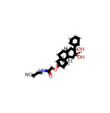 CC[C@@]12C[C@@](C)(O)[C@](O)(c3ccccc3)C[C@H]1CCc1cc(OCC(=O)NCCCC#N)ccc12